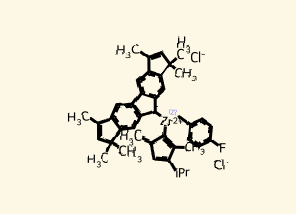 CC1=CC(C)(C)c2cc3c(cc21)-c1cc2c(cc1[CH]3/[Zr+2](=[CH]/c1ccc(F)cc1)[C]1=C(C)C(C(C)C)=CC1C)C(C)(C)C=C2C.[Cl-].[Cl-]